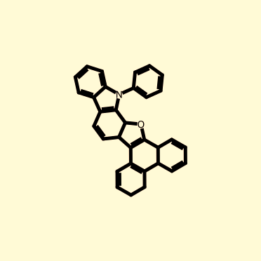 C1=CC2C3=C(C=CCC3)C3=C(OC4c5c(c6ccccc6n5-c5ccccc5)C=CC34)C2C=C1